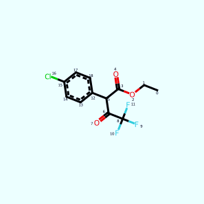 CCOC(=O)C(C(=O)C(F)(F)F)c1ccc(Cl)cc1